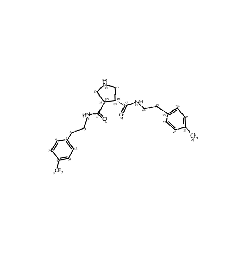 O=C(NCCc1ccc(C(F)(F)F)cc1)[C@H]1CNC[C@@H]1C(=O)NCCc1ccc(C(F)(F)F)cc1